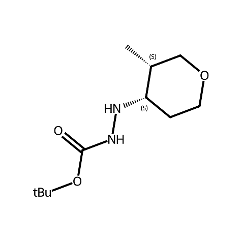 C[C@@H]1COCC[C@@H]1NNC(=O)OC(C)(C)C